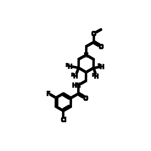 [2H]C1([2H])CN(CC(=O)OC)CC([2H])([2H])C1CNC(=O)c1cc(F)cc(Cl)c1